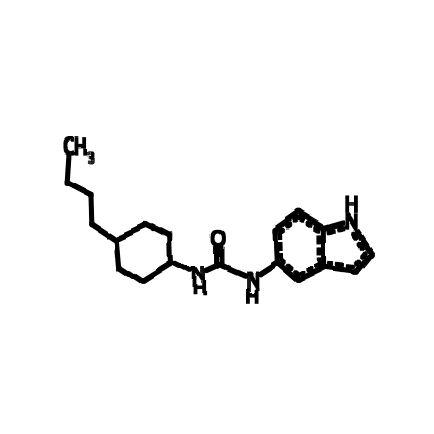 CCCCC1CCC(NC(=O)Nc2ccc3[nH]ccc3c2)CC1